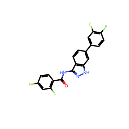 O=C(Nc1n[nH]c2cc(-c3ccc(F)c(F)c3)ccc12)c1ccc(F)cc1F